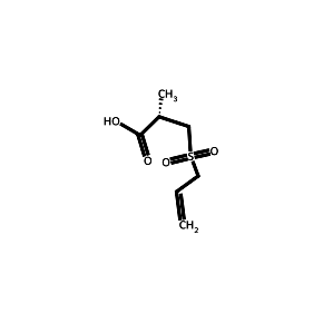 C=CCS(=O)(=O)C[C@@H](C)C(=O)O